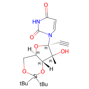 C#C[C@@]1(n2ccc(=O)[nH]c2=O)O[C@@H]2CO[Si](C(C)(C)C)(C(C)(C)C)O[C@H]2[C@@]1(C)O